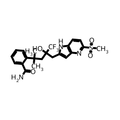 CC(C)(CC(O)(Cc1cc2nc(S(C)(=O)=O)ccc2[nH]1)C(F)(F)F)c1ccccc1C(N)=O